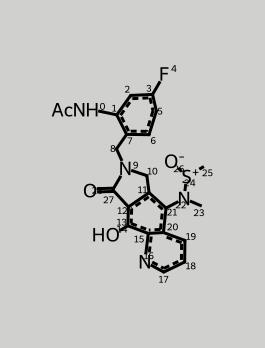 CC(=O)Nc1cc(F)ccc1CN1Cc2c(c(O)c3ncccc3c2N(C)[S+](C)[O-])C1=O